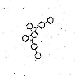 c1ccc(-c2ccc(-n3c4ccccc4c4c5c6ccccc6n(-c6ccc(-c7ccccc7)cc6)c5ccc43)cc2)cc1